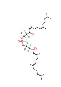 CC(C)=CCCC(C)=CCCC(C)=CC(=O)C(F)(F)C(F)(F)OP(C)(=O)OC(F)(F)C(F)(F)C(=O)C=C(C)CCC=C(C)CCC=C(C)C